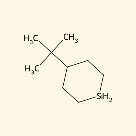 CC(C)(C)C1CC[SiH2]CC1